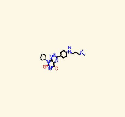 CN(C)CCCNc1ccc(-c2nnc3c(n2)c(=O)n(C)c(=O)n3C2CCCC2)cc1